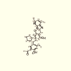 COc1cc(O)c(C(C)=O)cc1CCC1(C2CCCC2)CC(O)=C(Cc2nc3nc(C)cc(C)n3n2)C(=O)O1